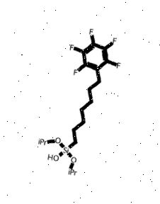 CC(C)O[Si](O)(CCCCCCCc1c(F)c(F)c(F)c(F)c1F)OC(C)C